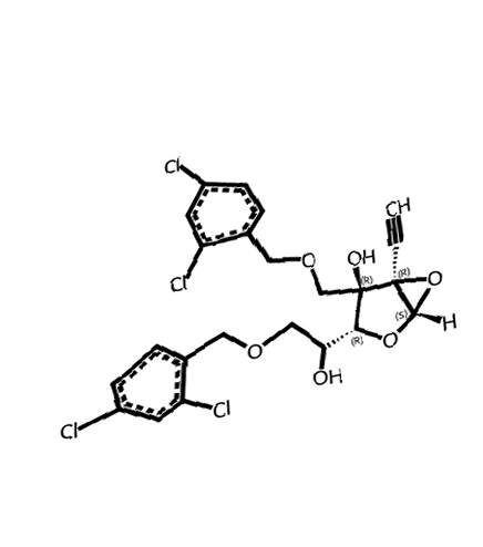 C#C[C@]12O[C@@H]1O[C@H](C(O)COCc1ccc(Cl)cc1Cl)[C@]2(O)COCc1ccc(Cl)cc1Cl